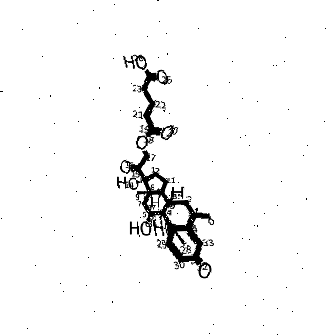 CC1C[C@@H]2[C@H]([C@@H](O)C[C@@]3(C)[C@H]2CC[C@]3(O)C(=O)COC(=O)CCCC(=O)O)[C@@]2(C)C=CC(=O)C=C12